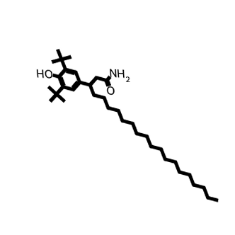 CCCCCCCCCCCCCCCCCCC(CC(N)=O)c1cc(C(C)(C)C)c(O)c(C(C)(C)C)c1